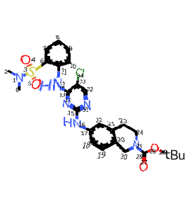 CN(C)S(=O)(=O)c1ccccc1Nc1nc(Nc2ccc3c(c2)CCN(C(=O)OC(C)(C)C)C3)ncc1Cl